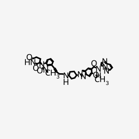 COc1cc2nn(C3CCC(NCCC#Cc4cccc5c4n(C)c(=O)n5C4CCC(=O)NC4=O)CC3)cc2cc1C(=O)Nc1cnc2cccnn12